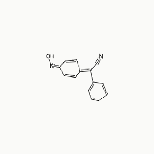 N#CC(=C1C=CC(=NO)C=C1)c1ccccc1